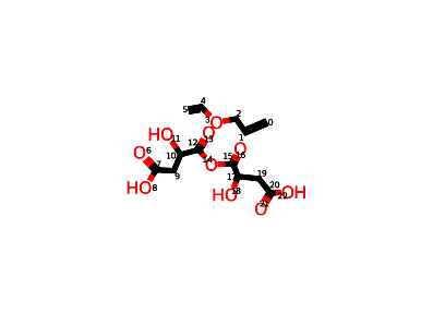 C=CCOC=C.O=C(O)CC(O)C(=O)OC(=O)C(O)CC(=O)O